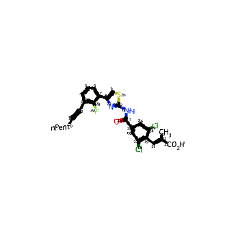 CCCCCC#Cc1cccc(-c2csc(NC(=O)c3cc(Cl)c(C=C(C)C(=O)O)c(Cl)c3)n2)c1F